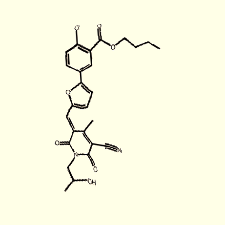 CCCCOC(=O)c1cc(-c2ccc(/C=C3/C(=O)N(CC(C)O)C(=O)C(C#N)=C3C)o2)ccc1Cl